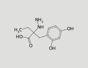 CCC(Cc1ccc(O)cc1O)(NN)C(=O)O